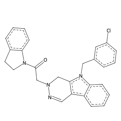 O=C(CN1Cc2c(c3ccccc3n2Cc2cccc(Cl)c2)C=N1)N1CCc2ccccc21